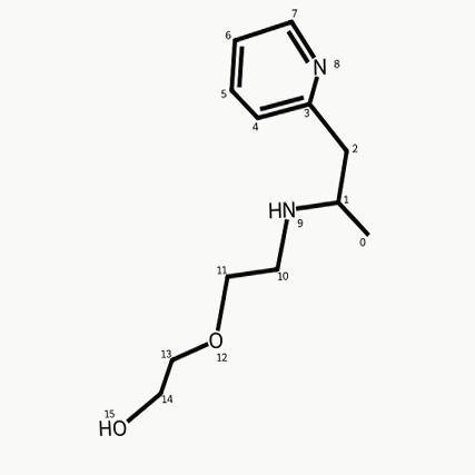 CC(Cc1ccccn1)NCCOCCO